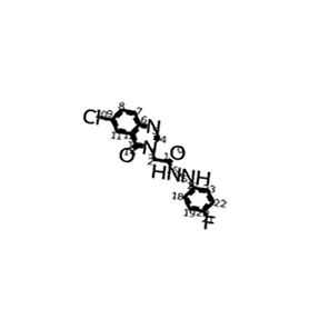 O=C(Cn1cnc2ccc(Cl)cc2c1=O)NNc1ccc(F)cc1